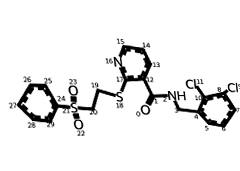 O=C(NCc1cccc(Cl)c1Cl)c1cccnc1SCCS(=O)(=O)c1ccccc1